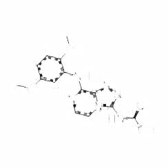 COc1ccc(OC)c(Nc2nccn3c(NC(=O)O)nnc23)c1